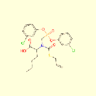 C=CCSC(=O)N(CP(=O)(Oc1cccc(Cl)c1)Oc1cccc(Cl)c1)C(CCCC)C(=O)O